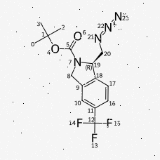 CC(C)(C)OC(=O)N1Cc2cc(C(F)(F)F)ccc2[C@@H]1CN=[N+]=[N-]